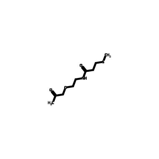 CSCCC(=O)NCCOCC(C)=O